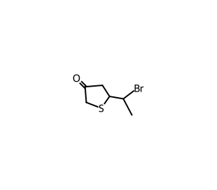 CC(Br)C1CC(=O)CS1